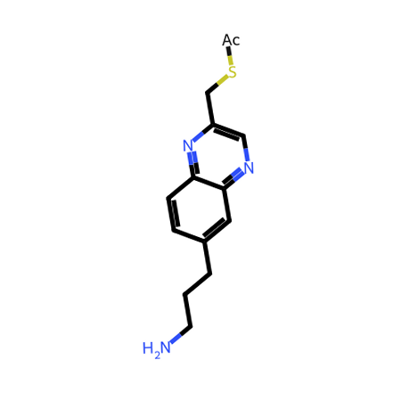 CC(=O)SCc1cnc2cc(CCCN)ccc2n1